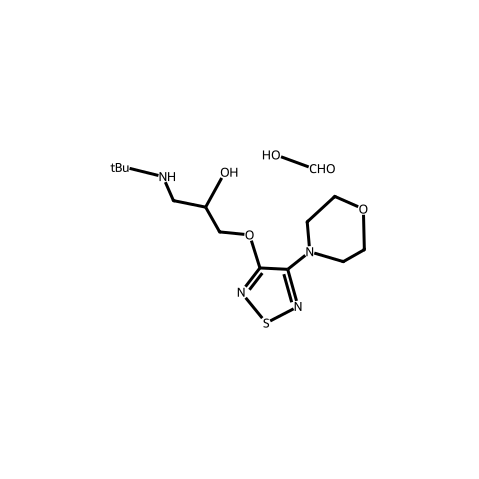 CC(C)(C)NCC(O)COc1nsnc1N1CCOCC1.O=CO